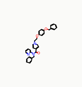 O=C(C1=CCN(CCOc2ccc(OCc3ccccc3)cc2)C=C1)N(Cc1ccccc1)c1ccccn1